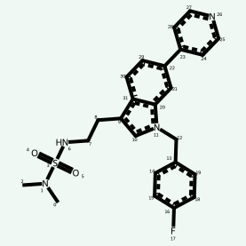 CN(C)S(=O)(=O)NCCc1cn(Cc2ccc(F)cc2)c2cc(-c3ccncc3)ccc12